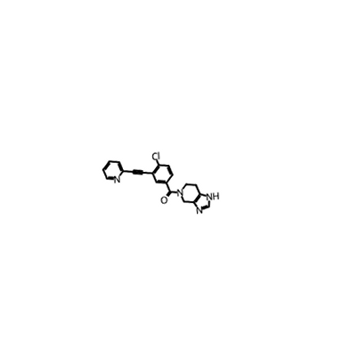 O=C(c1ccc(Cl)c(C#Cc2ccccn2)c1)N1CCc2[nH]cnc2C1